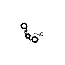 O=CC1CCCCCC(Sc2ccc(OCC3CCCCCCC3)cc2)C1